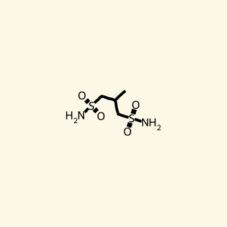 CC(CS(N)(=O)=O)CS(N)(=O)=O